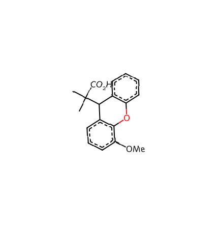 COc1cccc2c1Oc1ccccc1C2C(C)(C)C(=O)O